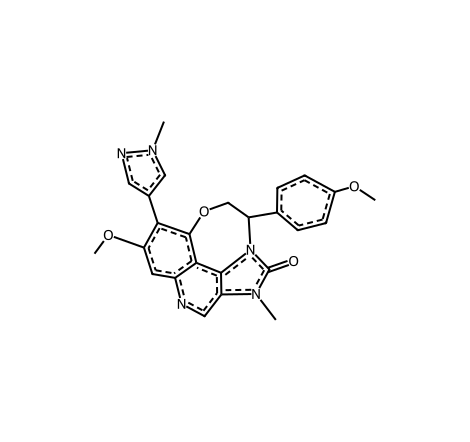 COc1ccc(C2COc3c(-c4cnn(C)c4)c(OC)cc4ncc5c(c34)n2c(=O)n5C)cc1